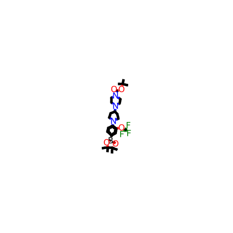 CC(C)(C)OC(=O)N1CCN(C2CCN(c3ccc(B4OC(C)(C)C(C)(C)O4)cc3OC(F)(F)F)CC2)CC1